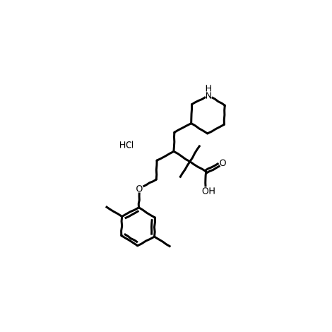 Cc1ccc(C)c(OCCC(CC2CCCNC2)C(C)(C)C(=O)O)c1.Cl